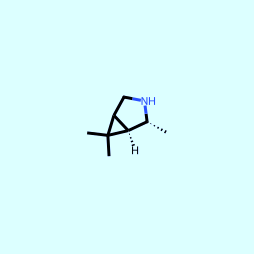 C[C@H]1NCC2[C@@H]1C2(C)C